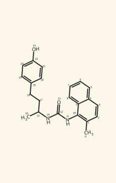 Cc1ccc2ccccc2c1NC(=O)NC(C)CCc1ccc(O)cc1